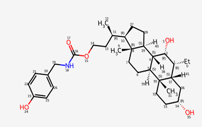 CC[C@H]1[C@@H](O)[C@@H]2[C@H](CC[C@]3(C)[C@@H]([C@H](C)CCOC(=O)NCc4ccc(O)cc4)CC[C@@H]23)[C@@]2(C)CC[C@@H](O)C[C@@H]12